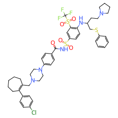 O=C(NS(=O)(=O)c1ccc(NC(CCN2CCCC2)CSc2ccccc2)c(S(=O)(=O)C(F)(F)F)c1)c1ccc(N2CCN(CC3=C(c4ccc(Cl)cc4)CCCCC3)CC2)cc1